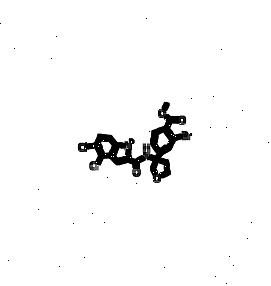 COC(=O)c1ccc(C2(NC(=O)c3cc4c(Cl)c(Cl)ccc4n3C)CCOC2)cc1Br